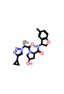 Cc1ccc2c(c1)C(NC(=O)C1CC(O)CN1C(=O)[C@@H](n1cc(C3CC3)nn1)C(C)(C)C)CO2